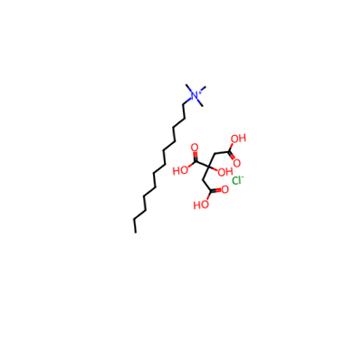 CCCCCCCCCCCC[N+](C)(C)C.O=C(O)CC(O)(CC(=O)O)C(=O)O.[Cl-]